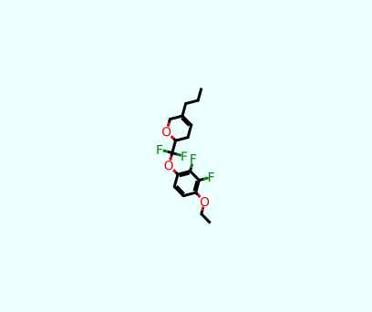 CCCC1=CCC(C(F)(F)Oc2ccc(OCC)c(F)c2F)OC1